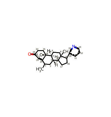 CC1C[C@@H]2[C@H](CC[C@]3(C)C(c4cccnc4)CC[C@@H]23)[C@@]2(C)CCC(=O)C=C12